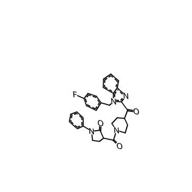 O=C(c1nc2ccccc2n1Cc1ccc(F)cc1)C1CCN(C(=O)C2CCN(c3ccccc3)C2=O)CC1